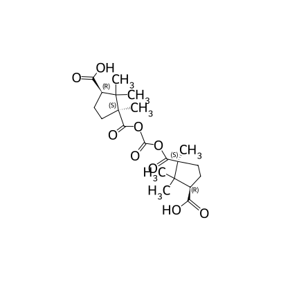 CC1(C)[C@H](C(=O)O)CC[C@]1(C)C(=O)OC(=O)OC(=O)[C@@]1(C)CC[C@@H](C(=O)O)C1(C)C